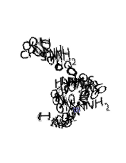 CC1=C(C(=O)O)N2C(=O)[C@@H](NC(=O)[C@H](N)c3ccc(O)cc3)[C@H]2SC1.NC(=O)OC[C@@H]1[C@H](NC(=O)/C(=N\OCC(=O)[O-])c2csc(N)n2)C(=O)N1S(=O)(=O)[O-].N[C@@H](C(=O)N[C@@H]1C(=O)N2C(C(=O)O)=C(Cl)CS[C@H]12)c1ccccc1.O.[Na+].[Na+]